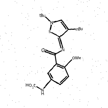 CCCCc1cn(C(C)(C)C)sc1=NC(=O)c1cc(NC(=O)O)ccc1OC